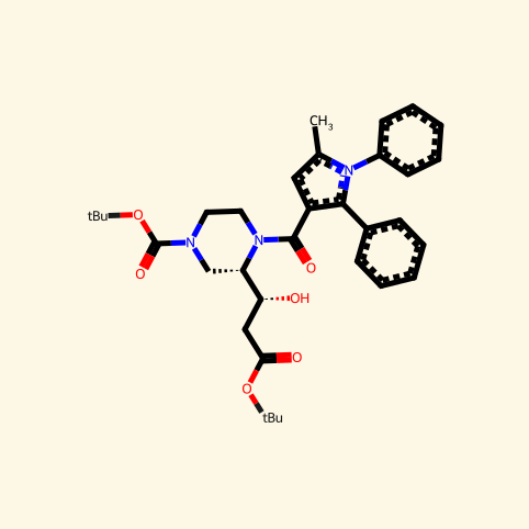 Cc1cc(C(=O)N2CCN(C(=O)OC(C)(C)C)C[C@H]2[C@H](O)CC(=O)OC(C)(C)C)c(-c2ccccc2)n1-c1ccccc1